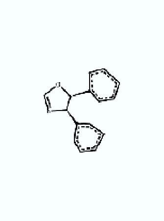 C1=N[C@H](c2ccccc2)[C@H](c2ccccc2)O1